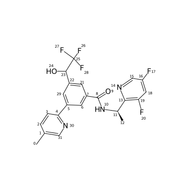 Cc1ccc(-c2cc(C(=O)N[C@H](C)c3ncc(F)cc3F)cc(C(O)C(F)(F)F)c2)nc1